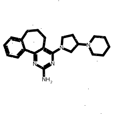 Nc1nc2c(c(N3CCC(N4CCCCC4)C3)n1)CCCc1ccccc1-2